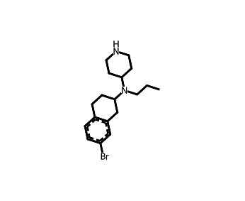 CCCN(C1CCNCC1)C1CCc2ccc(Br)cc2C1